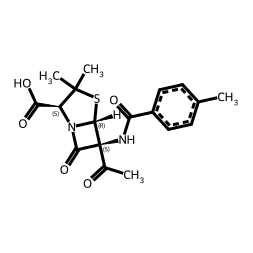 CC(=O)[C@]1(NC(=O)c2ccc(C)cc2)C(=O)N2[C@@H](C(=O)O)C(C)(C)S[C@@H]21